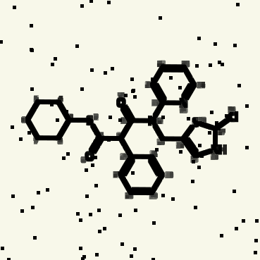 O=C(SC1CCCCC1)C(C(=O)N(CC1=CNC(Cl)S1)c1ccccn1)c1ccccc1